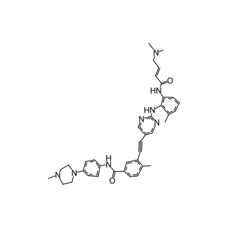 Cc1ccc(C(=O)Nc2ccc(N3CCN(C)CC3)cc2)cc1C#Cc1cnc(Nc2c(C)cccc2NC(=O)C=CCN(C)C)nc1